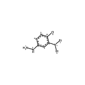 CCN(CC)c1cc(NN)nnc1Cl